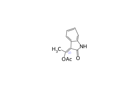 CC(=O)O/C(C)=C1\C(=O)Nc2ccccc21